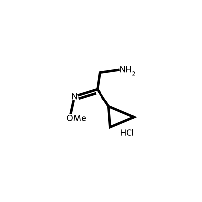 CO/N=C(/CN)C1CC1.Cl